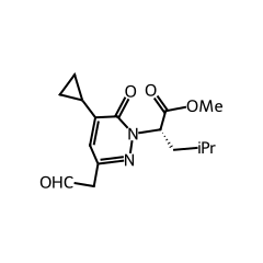 COC(=O)[C@H](CC(C)C)n1nc(CC=O)cc(C2CC2)c1=O